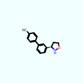 N#Cc1ccc(-c2cccc([C@H]3CCON3)c2)cc1